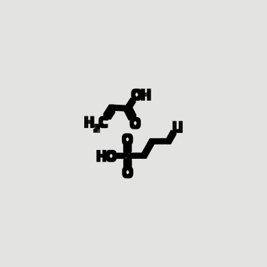 C=CC(=O)O.[Li][CH2]CCS(=O)(=O)O